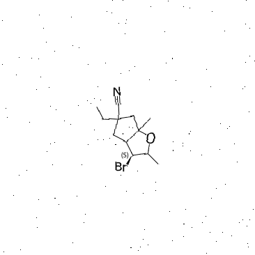 CCC1(C#N)CC2[C@H](Br)C(C)OC2(C)C1